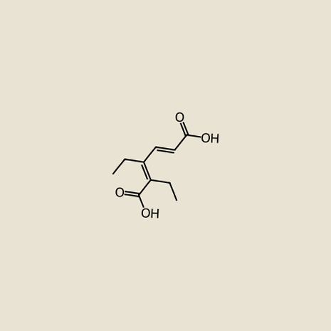 CCC(C=CC(=O)O)=C(CC)C(=O)O